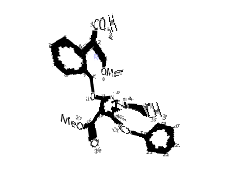 CO/C=C(/C(=O)O)c1ccccc1COc1nn(C)c(Oc2ccccc2)c1C(=O)OC